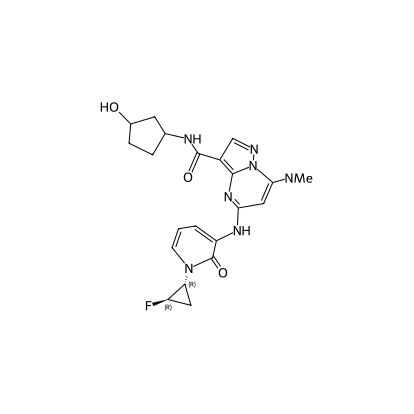 CNc1cc(Nc2cccn([C@@H]3C[C@H]3F)c2=O)nc2c(C(=O)NC3CCC(O)C3)cnn12